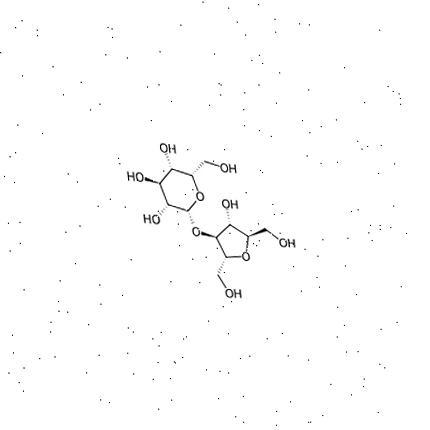 OC[C@@H]1O[C@H](O[C@H]2[C@H](O)[C@@H](CO)O[C@@H]2CO)[C@H](O)[C@@H](O)[C@@H]1O